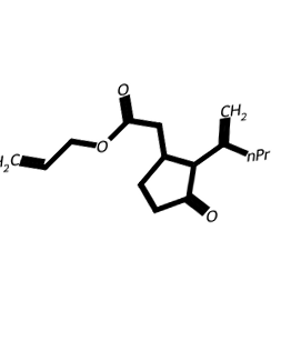 C=CCOC(=O)CC1CCC(=O)C1C(=C)CCC